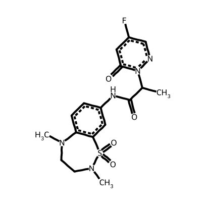 CC(C(=O)Nc1ccc2c(c1)S(=O)(=O)N(C)CCN2C)n1ncc(F)cc1=O